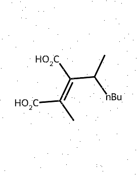 CCCCC(C)C(C(=O)O)=C(C)C(=O)O